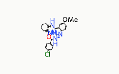 COc1ccc2nc(NC(=O)c3ccc(Cl)cc3)nc(N[C@H]3CCCC[C@H]3N)c2c1